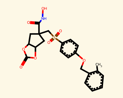 Cc1ccccc1COc1ccc(S(=O)(=O)CC2(C(=O)NO)CC3OC(=O)OC3C2)cc1